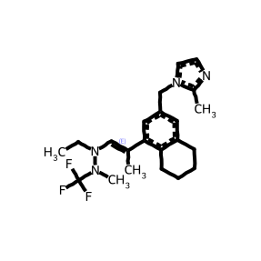 CCN(/C=C(\C)c1cc(Cn2ccnc2C)cc2c1CCCC2)N(C)C(F)(F)F